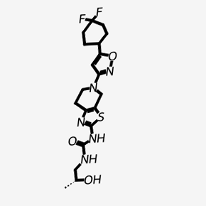 C[C@@H](O)CNC(=O)Nc1nc2c(s1)CN(c1cc(C3CCC(F)(F)CC3)on1)CC2